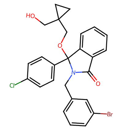 O=C1c2ccccc2C(OCC2(CO)CC2)(c2ccc(Cl)cc2)N1Cc1cccc(Br)c1